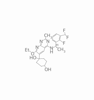 CCOc1nc2nc(C)nc(N[C@H](C)c3cccc(C(F)F)c3F)c2cc1C1(O)CCC(O)CC1